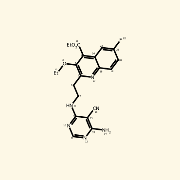 CCOC(=O)c1c(OCC)c(CCNc2ncnc(N)c2C#N)nc2ccc(F)cc12